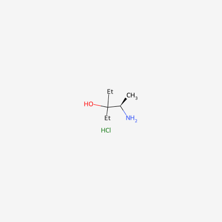 CCC(O)(CC)[C@@H](C)N.Cl